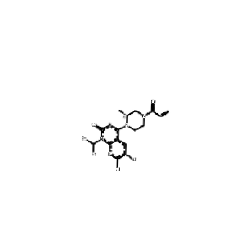 C=CC(=O)N1CCN(c2nc(=O)n(C(CC)CC)c3nc(Cl)c(Cl)cc23)[C@@H](C)C1